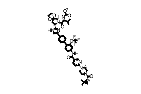 COC(=O)N[C@H](C(=O)N1CC2(C[C@H]1c1nc(-c3ccc(-c4ccc(NC(=O)c5ccc(N6CCN(C(=O)[C@H]7CC7(C)C)C[C@H]6C)nc5)cc4OC(F)(F)F)cc3)c[nH]1)OCCO2)C(C)C